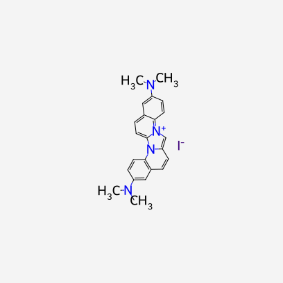 CN(C)c1ccc2c(ccc3c[n+]4c5ccc(N(C)C)cc5ccc4n32)c1.[I-]